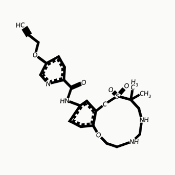 C#CCOc1ccc(C(=O)Nc2ccc3c(c2)CS(=O)(=O)C(C)(C)CNCNCCO3)nc1